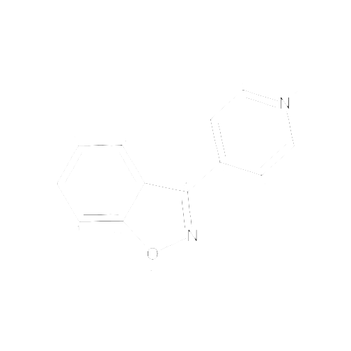 c1ccc2c(-c3ccncc3)noc2c1